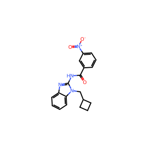 O=C(Nc1nc2ccccc2n1CC1CCC1)c1cccc([N+](=O)[O-])c1